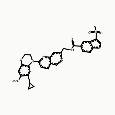 COc1cc2c(nc1C1CC1)N(c1ccc3cnc(CNC(=O)c4ccc5occ(S(C)(=O)=O)c5c4)cc3n1)CCO2